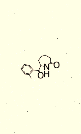 Cc1ccccc1C(=O)C1CCCCC(=O)N1